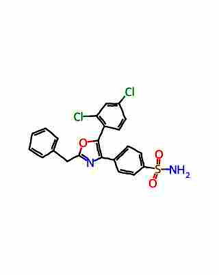 NS(=O)(=O)c1ccc(-c2nc(Cc3ccccc3)oc2-c2ccc(Cl)cc2Cl)cc1